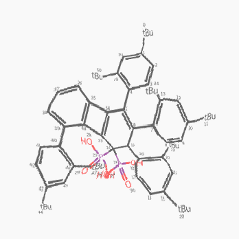 CC(C)(C)c1ccc(C2=C(c3ccc(C(C)(C)C)cc3C(C)(C)C)C(c3ccc(C(C)(C)C)cc3C(C)(C)C)C(P(=O)(O)O)(P(=O)(O)O)C3=C2c2cccc(-c4ccc(C(C)(C)C)cc4C(C)(C)C)c23)c(C(C)(C)C)c1